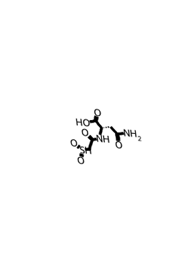 NC(=O)C[C@H](NC(=O)C[SH](=O)=O)C(=O)O